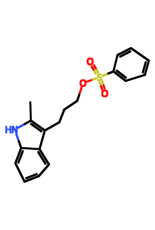 Cc1[nH]c2ccccc2c1CCCOS(=O)(=O)c1ccccc1